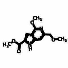 COCc1cc2[nH]c(C(=O)OC)cc2c(OC)n1